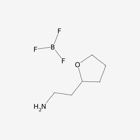 FB(F)F.NCCC1CCCO1